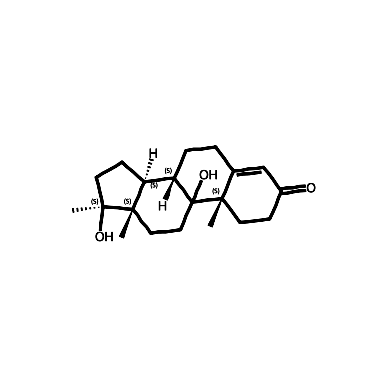 C[C@]12CCC(=O)C=C1CC[C@H]1[C@@H]3CC[C@](C)(O)[C@@]3(C)CCC12O